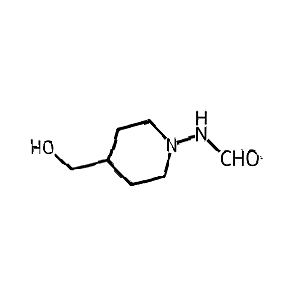 O=[C]NN1CCC(CO)CC1